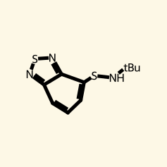 CC(C)(C)NSc1cccc2nsnc12